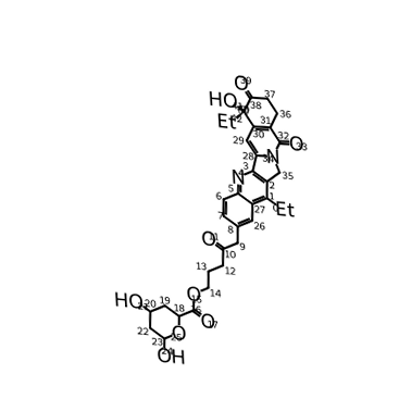 CCc1c2c(nc3ccc(CC(=O)CCCOC(=O)C4CC(O)CC(O)O4)cc13)-c1cc3c(c(=O)n1C2)CCC(=O)[C@]3(O)CC